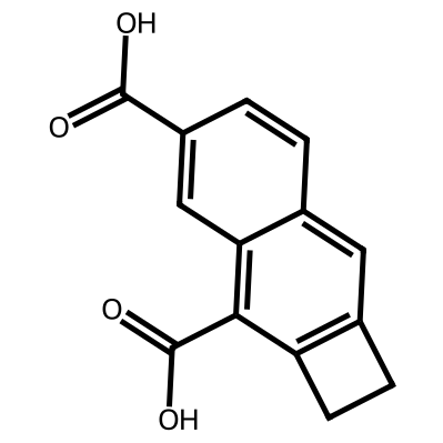 O=C(O)c1ccc2cc3c(c(C(=O)O)c2c1)CC3